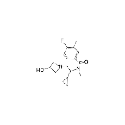 Cc1cc(C(=O)N(C)C(CN2CC(O)C2)C2CC2)ccc1F